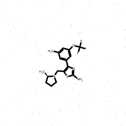 Cc1cc(OC(F)(F)F)cc(-c2nc(N)sc2CN2CCC[C@H]2C)c1